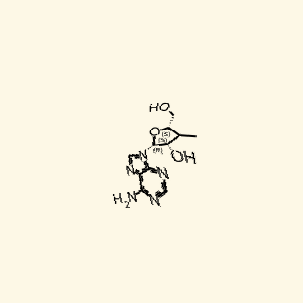 CC1[C@@H](CO)O[C@@H](n2cnc3c(N)ncnc32)[C@H]1O